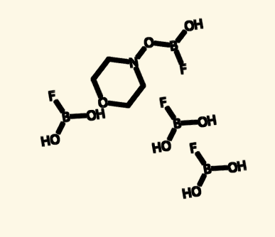 OB(F)ON1CCOCC1.OB(O)F.OB(O)F.OB(O)F